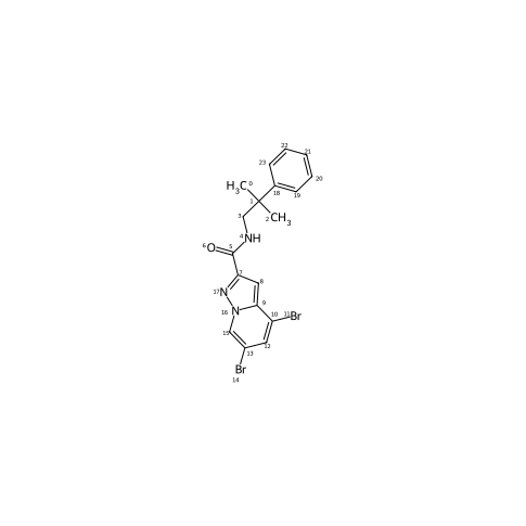 CC(C)(CNC(=O)c1cc2c(Br)cc(Br)cn2n1)c1ccccc1